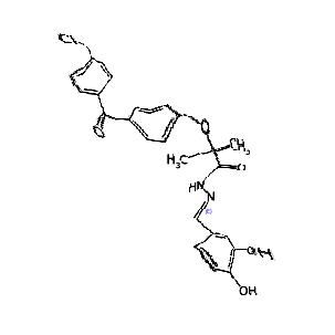 CC(C)(Oc1ccc(C(=O)c2ccc(Cl)cc2)cc1)C(=O)N/N=C/c1ccc(O)c(O)c1